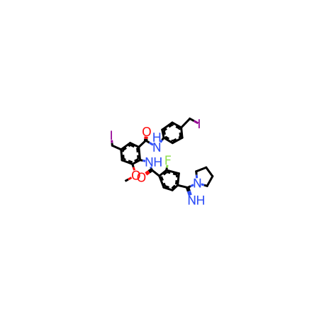 COc1cc(CI)cc(C(=O)Nc2ccc(CI)cc2)c1NC(=O)c1ccc(C(=N)N2CCCC2)cc1F